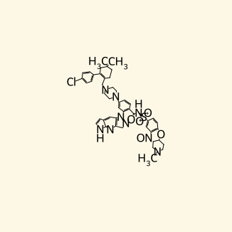 CN1CCC(Oc2ccc(S(=O)(=O)NC(=O)c3ccc(N4CCN(CC5=C(c6ccc(Cl)cc6)CC(C)(C)CC5)CC4)cc3-n3ncc4nc5[nH]ccc5cc43)cc2N=O)CC1